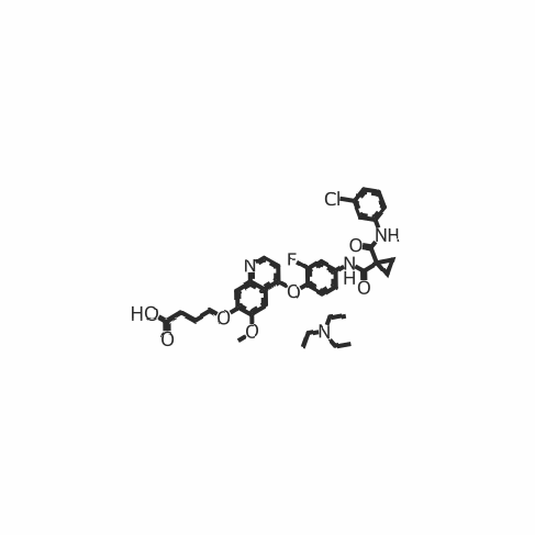 CCN(CC)CC.COc1cc2c(Oc3ccc(NC(=O)C4(C(=O)Nc5cccc(Cl)c5)CC4)cc3F)ccnc2cc1OCCCC(=O)O